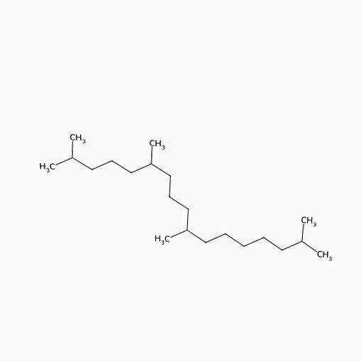 CC(C)CCCCCC(C)CCCC(C)CCCC(C)C